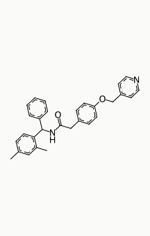 Cc1ccc(C(NC(=O)Cc2ccc(OCc3ccncc3)cc2)c2ccccc2)c(C)c1